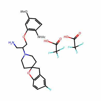 COc1ccc(NC(C)=O)c(OCC(CN)N2CCC3(CC2)Cc2cc(F)ccc2O3)c1.O=C(O)C(F)(F)F.O=C(O)C(F)(F)F